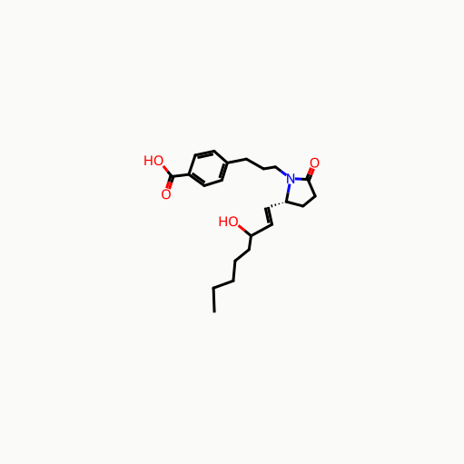 CCCCCC(O)/C=C/[C@H]1CCC(=O)N1CCCc1ccc(C(=O)O)cc1